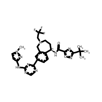 Cn1ccc(Nc2ncnc(-c3ccc4c(c3)CN(CC(F)(F)F)CC[C@H]4NC(=O)c3nc(C(C)(C)C)no3)n2)n1